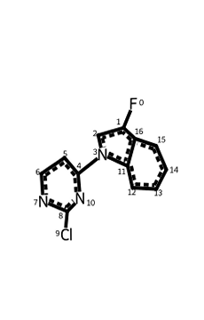 Fc1cn(-c2ccnc(Cl)n2)c2ccccc12